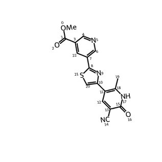 COC(=O)c1cncc(-c2nc(-c3cc(C#N)c(=O)[nH]c3C)cs2)c1